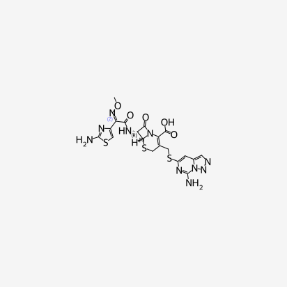 CO/N=C(\C(=O)N[C@@H]1C(=O)N2C(C(=O)O)=C(CSc3cc4cnnn4c(N)n3)CS[C@H]12)c1csc(N)n1